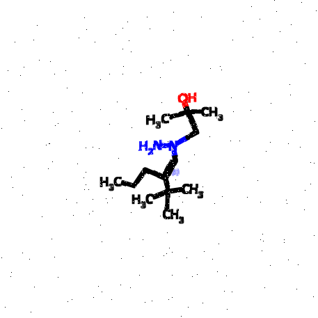 CCC/C(=C\N(N)CC(C)(C)O)C(C)(C)C